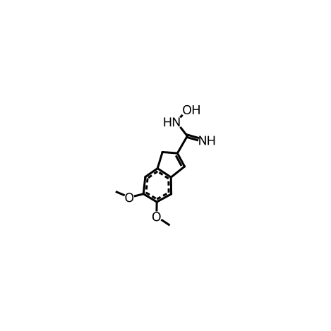 COc1cc2c(cc1OC)CC(C(=N)NO)=C2